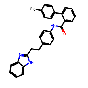 O=C(Nc1ccc(CCc2nc3ccccc3[nH]2)cc1)c1ccccc1-c1ccc(C(F)(F)F)cc1